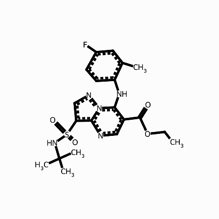 CCOC(=O)c1cnc2c(S(=O)(=O)NC(C)(C)C)cnn2c1Nc1ccc(F)cc1C